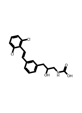 O=C(O)NCC(O)Cc1cccc(C=Cc2c(Cl)cccc2Cl)c1